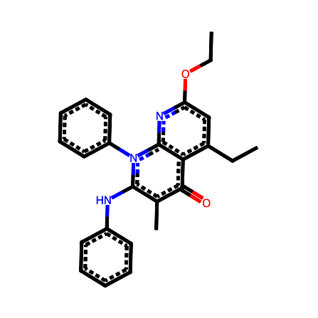 CCOc1cc(CC)c2c(=O)c(C)c(Nc3ccccc3)n(-c3ccccc3)c2n1